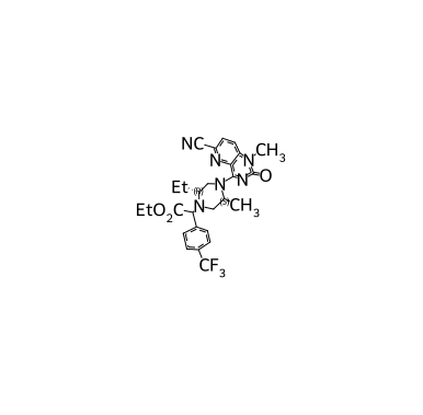 CCOC(=O)C(c1ccc(C(F)(F)F)cc1)N1C[C@H](C)N(c2nc(=O)n(C)c3ccc(C#N)nc23)C[C@H]1CC